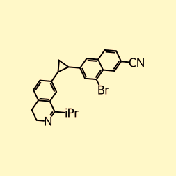 CC(C)C1=NCCc2ccc(C3CC3c3cc(Br)c4cc(C#N)ccc4c3)cc21